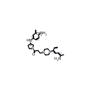 C=C/C(=C\C=C(\C)N)N1CCN(CCC(=O)N2CC[C@@H](NC(/C=C\CN)=C/C(=C)C(F)(F)F)C2)CC1